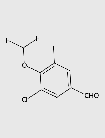 Cc1cc(C=O)cc(Cl)c1OC(F)F